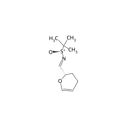 CC(C)(C)[S@+]([O-])/N=C/[C@@H]1CCC=CO1